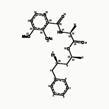 CC[C@H](Cc1ccccc1)C[C@H](C)OC(=O)[C@H](C)NC(=O)c1nccc(OC)c1OC(C)=O